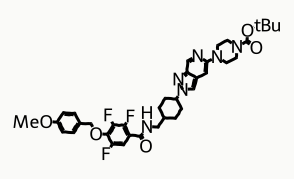 COc1ccc(COc2c(F)cc(C(=O)NCC3CCC(n4cc5cc(N6CCN(C(=O)OC(C)(C)C)CC6)ncc5n4)CC3)c(F)c2F)cc1